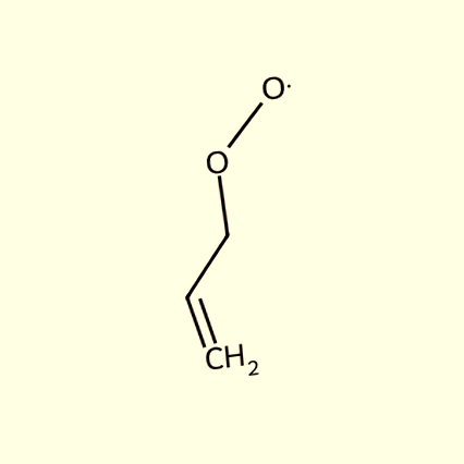 C=CCO[O]